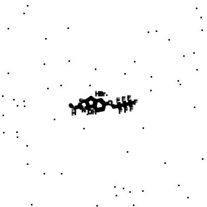 Br.CNC1=NC2(O)c3ccc(OCC(F)(F)C(F)(F)C(F)(F)F)cc3CC2S1